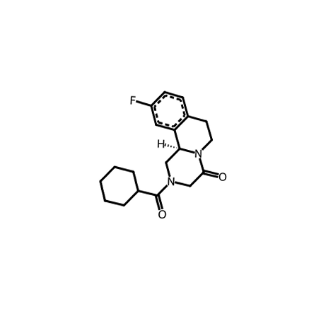 O=C(C1CCCCC1)N1CC(=O)N2CCc3ccc(F)cc3[C@@H]2C1